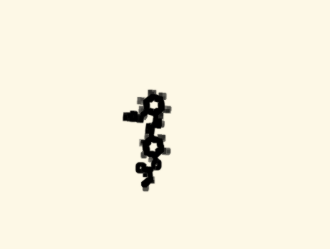 C=CC(=O)Oc1ccc(N=Nc2ccccc2CCCC)cc1